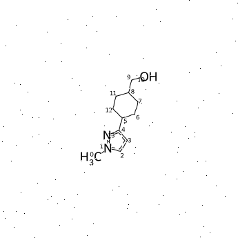 Cn1ccc(C2CCC(CO)CC2)n1